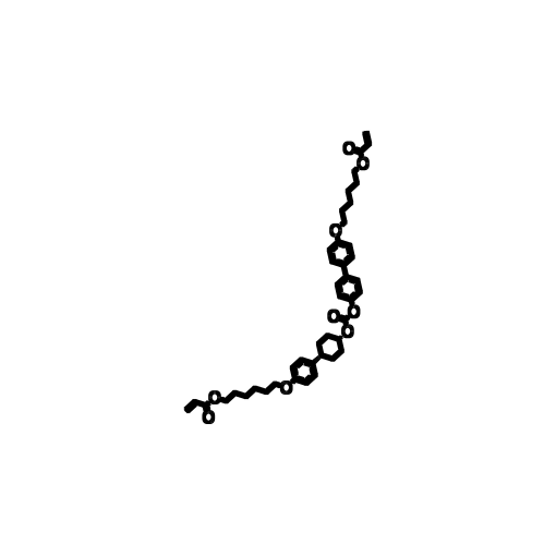 C=CC(=O)OCCCCCCOc1ccc(-c2ccc(OC(=O)O[C@H]3CC[C@H](c4ccc(OCCCCCCOC(=O)C=C)cc4)CC3)cc2)cc1